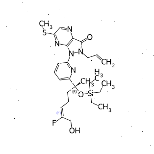 C=CCn1c(=O)c2ncc(SC)nc2n1-c1cccc([C@@](C)(CC/C=C(/F)CO)O[Si](CC)(CC)CC)n1